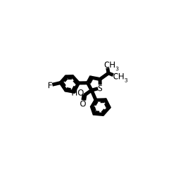 CC(C)C1C=C(c2ccc(F)cc2)C(C(=O)O)(c2ccccc2)S1